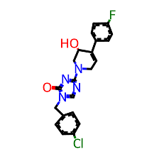 O=c1nc(N2CC=C(c3ccc(F)cc3)C(O)C2)ncn1Cc1ccc(Cl)cc1